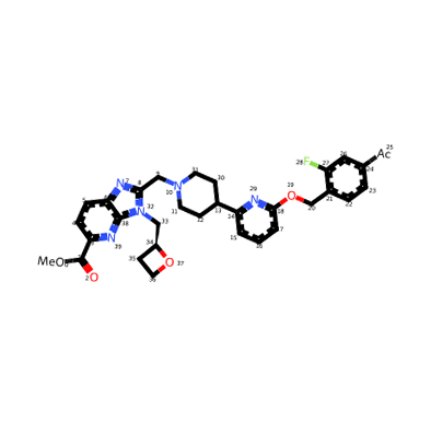 COC(=O)c1ccc2nc(CN3CCC(c4cccc(OCc5ccc(C(C)=O)cc5F)n4)CC3)n(C[C@@H]3CCO3)c2n1